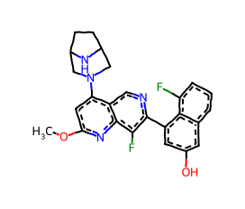 COc1cc(N2CC3CCC(C2)N3)c2cnc(-c3cc(O)cc4cccc(F)c34)c(F)c2n1